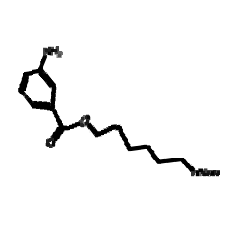 CCCCCCCCCCCCCCCOC(=O)c1cccc(N)c1